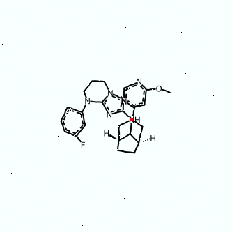 COc1cc(N2C[C@H]3CC[C@H](C2)C3Nc2nc3n(n2)CCCN3c2cccc(F)c2)ncn1